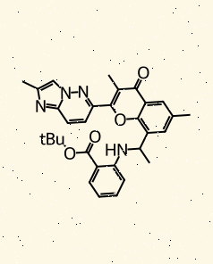 Cc1cc(C(C)Nc2ccccc2C(=O)OC(C)(C)C)c2oc(-c3ccc4nc(C)cn4n3)c(C)c(=O)c2c1